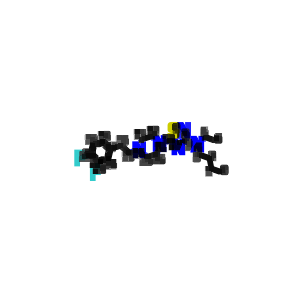 CCCCN(CC)c1nsc(N2CCN(CCc3ccc(F)c(F)c3)CC2)n1